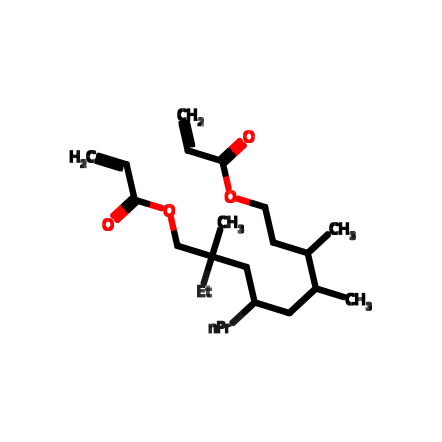 C=CC(=O)OCCC(C)C(C)CC(CCC)CC(C)(CC)COC(=O)C=C